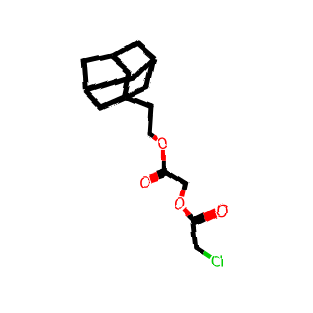 O=C(CCl)OCC(=O)OCCC12CC3CC(CC(C3)C1)C2